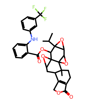 CC(C)C12OC1C1OC13C1(C)CCC4=C(COC4=O)C1CC1OC13C2OC(=O)c1ccccc1Nc1cccc(C(F)(F)F)c1